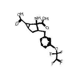 NC1(C(=O)O)C(Cc2cccc(OC(F)(F)C(F)F)c2)CC2C(C(=O)O)C21